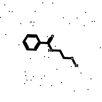 CCOCCNC(=O)c1c[c]ccc1